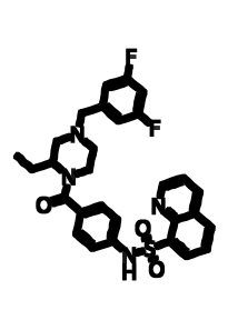 CCC1CN(Cc2cc(F)cc(F)c2)CCN1C(=O)c1ccc(NS(=O)(=O)c2cccc3cccnc23)cc1